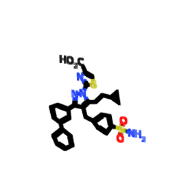 NS(=O)(=O)c1ccc(Cc2c(-c3cccc(-c4ccccc4)c3)nn(-c3nc(C(=O)O)cs3)c2CCC2CC2)cc1